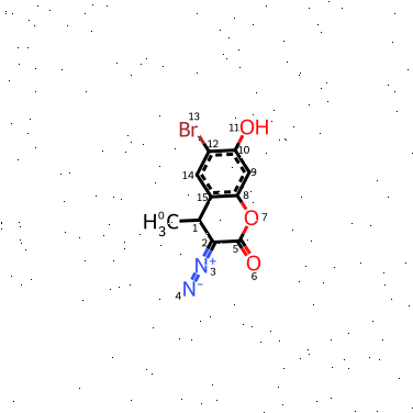 CC1C(=[N+]=[N-])C(=O)Oc2cc(O)c(Br)cc21